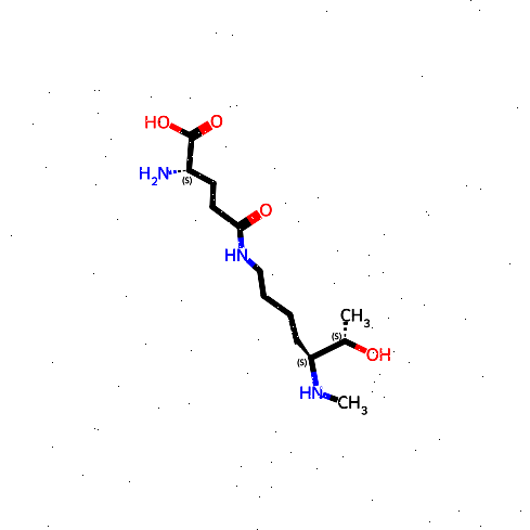 CN[C@@H](CCCCNC(=O)CC[C@H](N)C(=O)O)[C@H](C)O